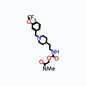 CNC(=O)COC(=O)NCCC1CCN(Cc2cccc(OC(F)(F)F)c2)CC1